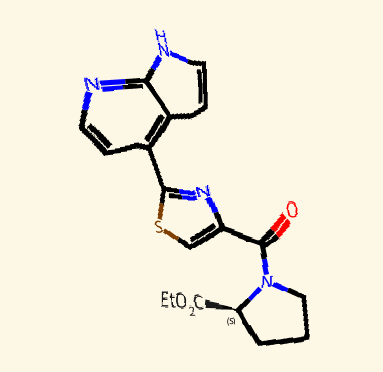 CCOC(=O)[C@@H]1CCCN1C(=O)c1csc(-c2ccnc3[nH]ccc23)n1